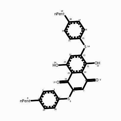 CCCCCc1ccc(SC2=CC(=O)c3c(O)c(Sc4ccc(CCCCC)cc4)cc(O)c3C2=O)cc1